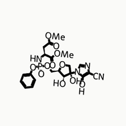 COC(=O)C[C@H](NP(=O)(OC[C@H]1OC[C@](O)(n2cnc(C#N)c2O)[C@@H]1O)Oc1ccccc1)C(=O)OC